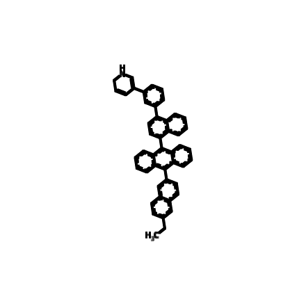 CCc1ccc2cc(-c3c4ccccc4c(-c4ccc(-c5cccc(C6=CNCC=C6)c5)c5ccccc45)c4ccccc34)ccc2c1